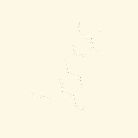 N#CSc1nc(Nc2cc(Cl)c(N)c(Cl)c2)ncc1[N+](=O)[O-]